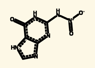 O=c1[nH]c(N[N+](=O)[O-])nc2nc[nH]c12